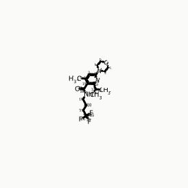 Cc1cc(N2CCOCC2)nc(C(C)C)c1C(=O)NCCCC(F)(F)F